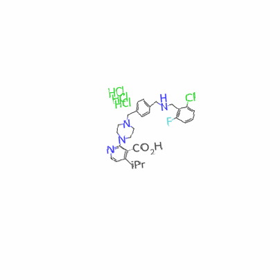 CC(C)c1ccnc(N2CCN(Cc3ccc(CNCc4c(F)cccc4Cl)cc3)CC2)c1C(=O)O.Cl.Cl.Cl